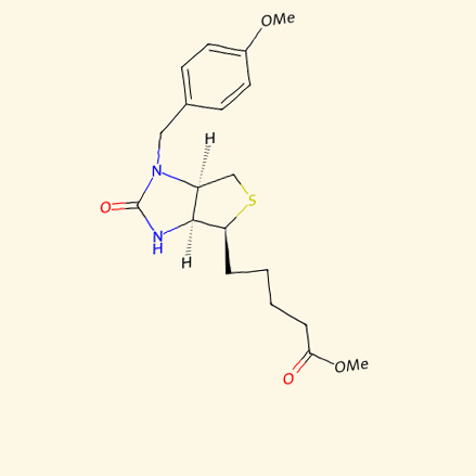 COC(=O)CCCC[C@@H]1SC[C@H]2[C@@H]1NC(=O)N2Cc1ccc(OC)cc1